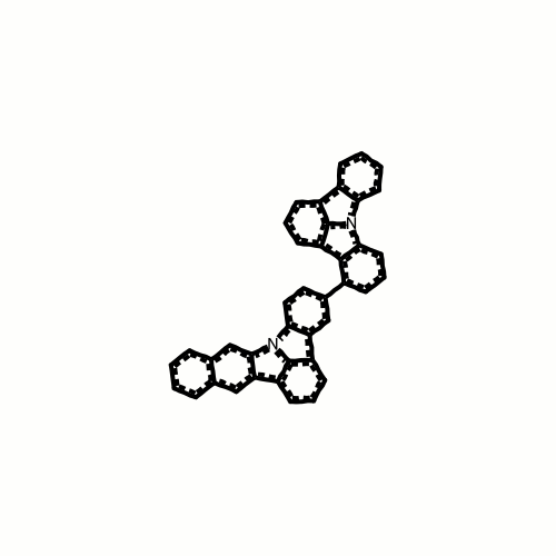 c1ccc2cc3c(cc2c1)c1cccc2c4cc(-c5cccc6c5c5cccc7c8ccccc8n6c75)ccc4n3c21